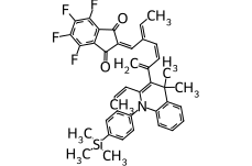 C=C(/C=C\C(C=C1C(=O)c2c(F)c(F)c(F)c(F)c2C1=O)=C/C)C1=C(/C=C\C)N(c2ccc([Si](C)(C)C)cc2)c2ccccc2C1(C)C